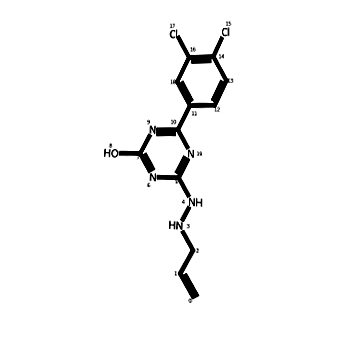 C=CCNNc1nc(O)nc(-c2ccc(Cl)c(Cl)c2)n1